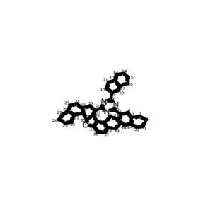 c1ccc2cc(-c3nc(-c4ccc5ccccc5c4)nc(-c4cc5ccc6ccccc6c5c5oc6ccc7ccccc7c6c45)n3)ccc2c1